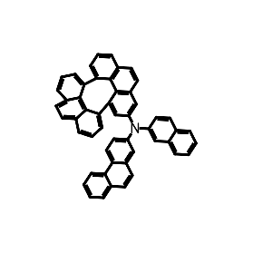 c1ccc2cc(N(c3ccc4c(ccc5ccccc54)c3)c3cc4ccc5cccc6c7cccc8ccc9cccc(c(c3)c4c56)c9c87)ccc2c1